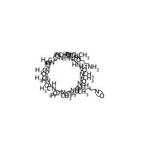 CC[C@@H]1NC(=O)[C@H]([C@H](O)[C@H](C)CCCCN)N(C)C(=O)[C@H](C(C)C)N(C)C(=O)[C@H](CC(C)C)N(C)C(=O)[C@H](CC(C)C)N(C)C(=O)[C@@H](C)NC(=O)[C@H](C)NC(=O)[C@H](CC(C)C)N(C)C(=O)[C@H](C(C)C)NC(=O)[C@H]([C@@H](C)OCCCCN2CCOCC2)N(C)C(=O)[C@@H](C)N(C)C1=O